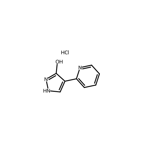 Cl.Oc1n[nH]cc1-c1ccccn1